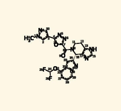 Cn1cc(-c2nnc(C(=O)N3CCc4[nH]cnc4[C@@H]3c3cc4c(OC(F)F)cccn4n3)o2)cn1